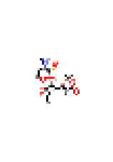 C=CC[C@@](C)(OC)[C@H](O[C@@H]1O[C@H](C)CC(N(C)C)[C@H]1P=O)[C@@H](C)C1=C(C)C(=O)OC(C)(C)O1